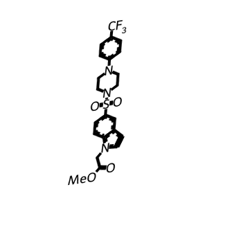 COC(=O)Cn1c#cc2cc(S(=O)(=O)N3CCN(c4ccc(C(F)(F)F)cc4)CC3)ccc21